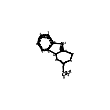 O=C(O)C1CCC2=Nc3ccccc3C2C1